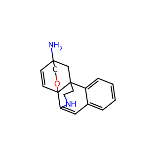 NC12C=CC3(OC1)C1=Cc4ccccc4C3(CCN1)C2